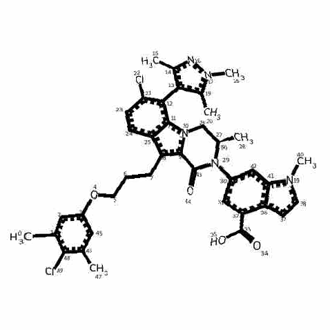 Cc1cc(OCCCc2c3n(c4c(-c5c(C)nn(C)c5C)c(Cl)ccc24)C[C@@H](C)N(c2cc(C(=O)O)c4ccn(C)c4c2)C3=O)cc(C)c1Cl